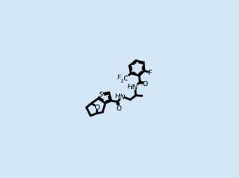 CC(CNC(=O)c1csc2c1CC1CCC2O1)NC(=O)c1c(F)cccc1C(F)(F)F